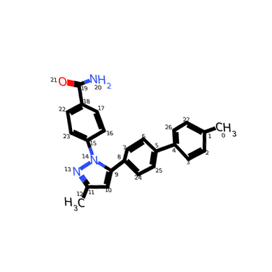 Cc1ccc(-c2ccc(-c3cc(C)nn3-c3ccc(C(N)=O)cc3)cc2)cc1